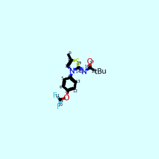 Cc1cn(-c2ccc(OC(F)F)cc2)/c(=N/C(=O)C(C)(C)C)s1